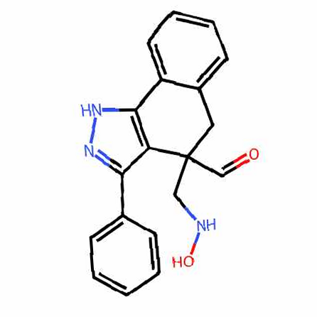 O=CC1(CNO)Cc2ccccc2-c2[nH]nc(-c3ccccc3)c21